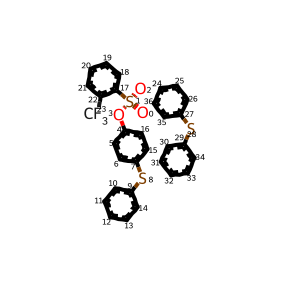 O=S(=O)(Oc1ccc(Sc2ccccc2)cc1)c1ccccc1C(F)(F)F.c1ccc(Sc2ccccc2)cc1